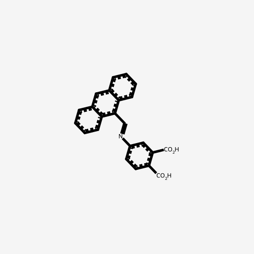 O=C(O)c1ccc(N=Cc2c3ccccc3cc3ccccc23)cc1C(=O)O